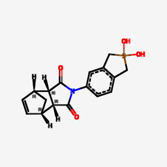 O=C1[C@@H]2[C@H](C(=O)N1c1ccc3c(c1)CS(O)(O)C3)[C@@H]1C=C[C@H]2C1